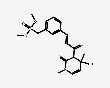 COP(=O)(Cc1cccc(/C=C/C(=O)C2C(=O)N(C)C=CC2(C)O)c1)OC